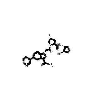 NC(=O)c1nn(CC(=O)N2C[C@H](F)CC2C(=O)N[C@@H]2CCC[C@H]2O)c2ccc(-c3ccnnc3)cc12